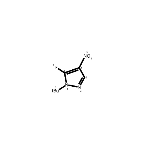 CC(C)(C)n1ncc([N+](=O)[O-])c1F